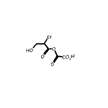 CCC(CO)C(=O)OC(=O)C(=O)O